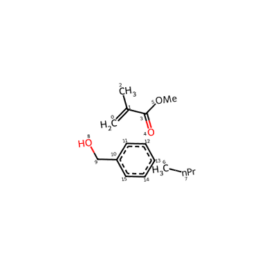 C=C(C)C(=O)OC.CCCC.OCc1ccccc1